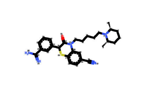 C[C@@H]1CCC[C@H](C)N1CCCCCN1C(=O)C(c2cccc(C(=N)N)c2)Sc2ccc(C#N)cc21